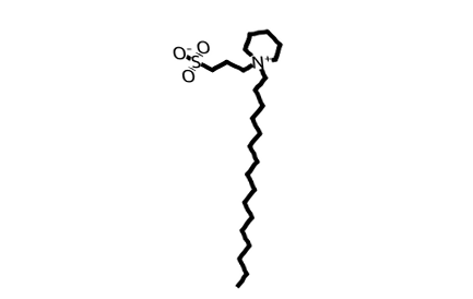 CCCCCCCCCCCCCCCC[N+]1(CCCS(=O)(=O)[O-])CCCCC1